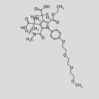 CCOC(=O)c1c(C(C)(C)C(=O)O)c(C(C)(C)C(=O)O)c(C(=O)N(C)C)n1-c1ccc(OCCOCCOCCOC)cc1